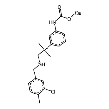 Cc1ccc(CNCC(C)(C)c2cccc(NC(=O)OC(C)(C)C)c2)cc1Cl